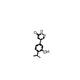 CC(C)c1ccc(-c2cn[nH]c(=O)c2)cc1O